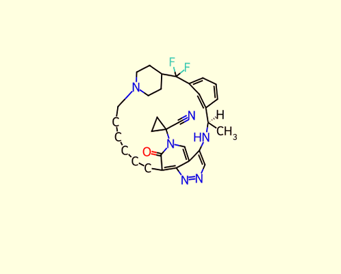 C[C@H]1Nc2cnnc3c(c(=O)n(C4(C#N)CC4)cc23)CCCCCCN2CCC(CC2)C(F)(F)c2cccc1c2